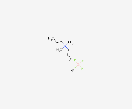 C=CC[N+](C)(C)CC=C.F[B-](F)(F)F.[H+]